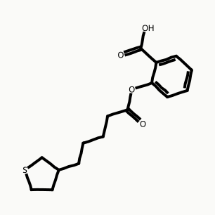 O=C(CCCCC1CCSC1)Oc1ccccc1C(=O)O